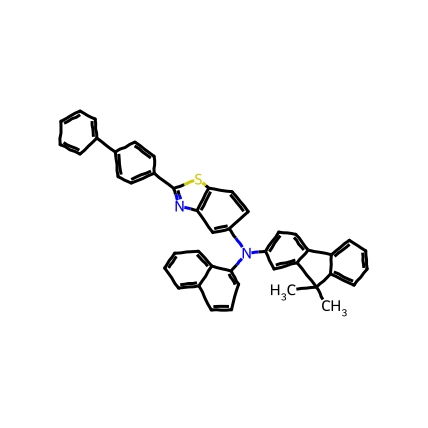 CC1(C)c2ccccc2-c2ccc(N(c3ccc4sc(-c5ccc(-c6ccccc6)cc5)nc4c3)c3cccc4ccccc34)cc21